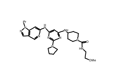 COCCNC(=O)N1CCC(Nc2cc(Nc3cc4c(cn3)cnn4C(C)C)nc(N3CCCC3)n2)CC1